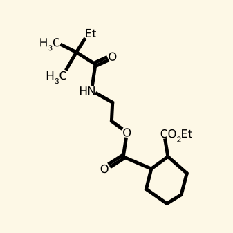 CCOC(=O)C1CCCCC1C(=O)OCCNC(=O)C(C)(C)CC